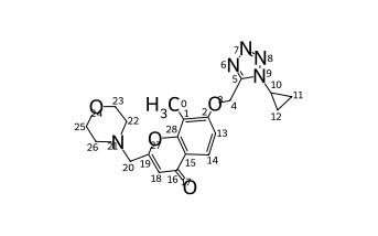 Cc1c(OCc2nnnn2C2CC2)ccc2c(=O)cc(CN3CCOCC3)oc12